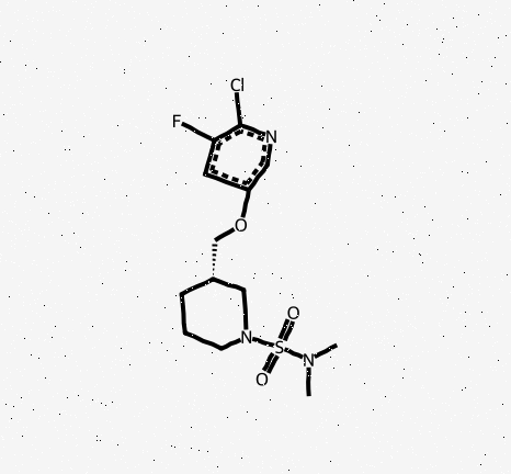 CN(C)S(=O)(=O)N1CCC[C@H](COc2cnc(Cl)c(F)c2)C1